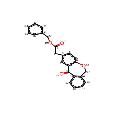 O=C(Cc1ccc2c(c1)C(=O)c1ccccc1CO2)OCc1ccccc1